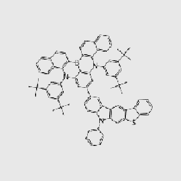 CC(C)(C)c1cc(N2c3cc(-c4ccc5c(c4)c4cc6c(cc4n5-c4ccccc4)sc4ccccc46)cc4c3B(c3ccc5ccccc5c32)c2ccc3ccccc3c2N4c2cc(C(C)(C)C)cc(C(C)(C)C)c2)cc(C(C)(C)C)c1